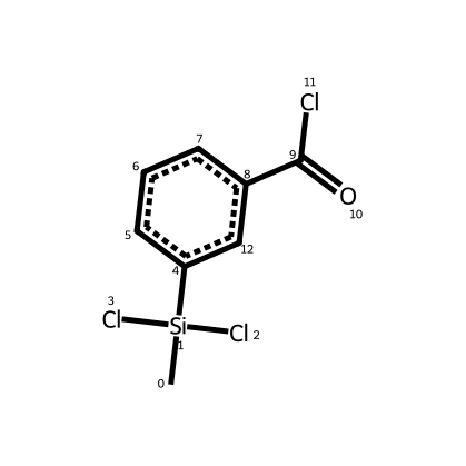 C[Si](Cl)(Cl)c1cccc(C(=O)Cl)c1